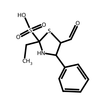 CCC1(S(=O)(=O)O)NC(c2ccccc2)C(C=O)S1